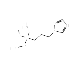 CO[Si](CCCn1cncn1)(OC)OC